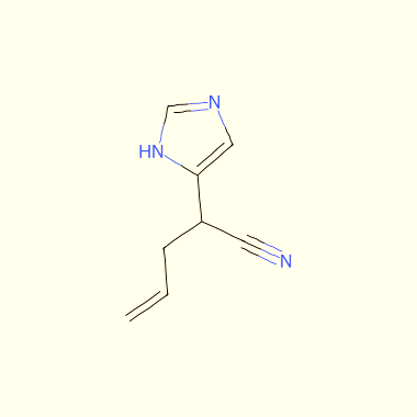 C=CCC(C#N)c1cnc[nH]1